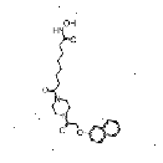 O=C(CCCCCCC(=O)N1CCN(C(=O)COc2ccc3ccccc3c2)CC1)NO